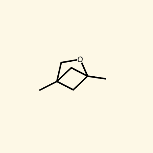 CC12COC(C)(C1)C2